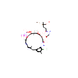 COCC(C)(CCC(=O)N(C)[C@H](C)C(=O)OC1CC(=O)N(C)c2cc(cc(C)c2Cl)C/C(C)=C/C=C/[C@@H](C)[C@@]2(O)C[C@H](OC(=O)N2)[C@@H](C)[C@@H]2O[C@@]12C)SSC